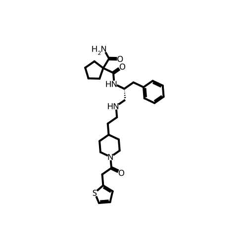 NC(=O)C1(C(=O)N[C@@H](CNCCC2CCN(C(=O)Cc3cccs3)CC2)Cc2ccccc2)CCCC1